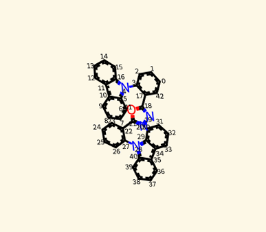 c1ccc(-n2c3ccccc3c3ccccc32)c(-c2nnc(-c3ccccc3-n3c4ccccc4c4ccccc43)o2)c1